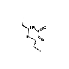 C=CC(=O)NC.CCCOCCC